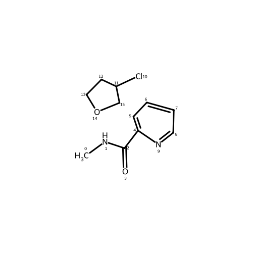 CNC(=O)c1ccccn1.ClC1CCOC1